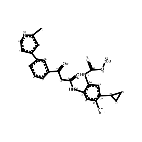 Cc1cc(-c2cccc(C(=O)CC(=O)Nc3cc(C(F)(F)F)c(C4CC4)cc3NC(=O)OC(C)(C)C)c2)ccn1